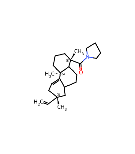 C=C[C@]1(C)CC=C2C(CCC3[C@@](C)(C(=O)N4CCCC4)CCC[C@]23C)C1